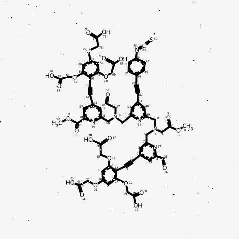 COC(=O)CN(Cc1cc(C#Cc2c(OCC(=O)O)cc(OCC(=O)O)cc2OCC(=O)O)cc(C=O)n1)Cc1cc(C#Cc2ccc(N=C=S)cc2)cc(CN(CC=O)Cc2cc(C#Cc3c(OCC(=O)O)cc(OCC(=O)O)cc3OCC(=O)O)cc(C(=O)OC)n2)n1